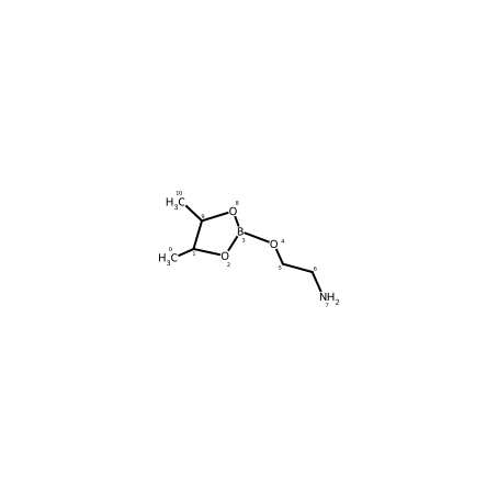 CC1OB(OCCN)OC1C